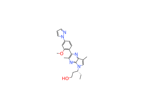 CC[C@H](CCO)n1cc(C)c2nc(-c3ccc(-n4cccn4)cc3OC)c(C)nc21